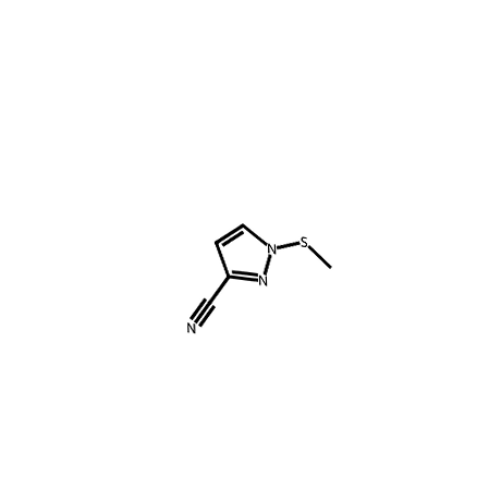 CSn1ccc(C#N)n1